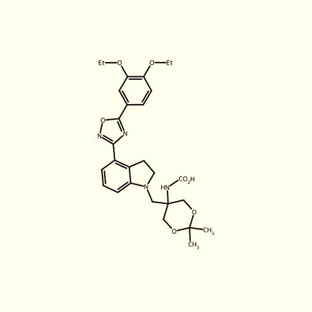 CCOc1ccc(-c2nc(-c3cccc4c3CCN4CC3(NC(=O)O)COC(C)(C)OC3)no2)cc1OCC